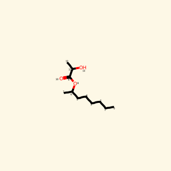 CCCCCCC(C)OC(=O)C(C)O